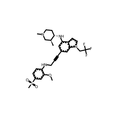 COc1cc(S(C)(=O)=O)ccc1NCC#Cc1cc(N[C@H]2CCN(C)C[C@@H]2C)c2ccn(CC(F)(F)F)c2c1